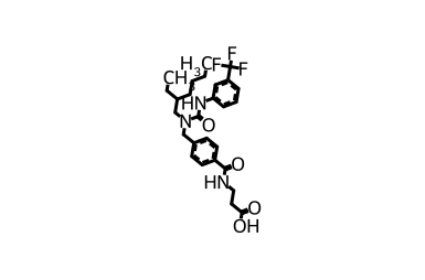 CCCCC(CC)CN(Cc1ccc(C(=O)NCCC(=O)O)cc1)C(=O)Nc1cccc(C(F)(F)F)c1